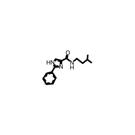 CC(C)CCNC(=O)c1c[nH]c(-c2cc[c]cc2)n1